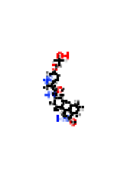 CC(C)(O)COc1ccc2c(C(=O)NC3CCC(c4c[nH]c(=O)c5ccccc45)CC3)cnn2c1